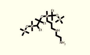 CCC(C(C)(CC)O[Si](C)(CCCNCCN)C(C)(CC)O[Si](C)(C)C)[Si](C)(C)O[Si](C)(C)C